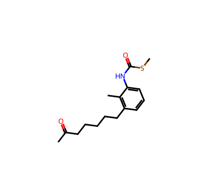 CSC(=O)Nc1cccc(CCCCCC(C)=O)c1C